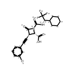 O=C(O)[C@@H]1[C@@H](C#Cc2cccc(Cl)c2)C(=O)N1C(=O)N[C@@H](C1CCCCC1)C(F)(F)F